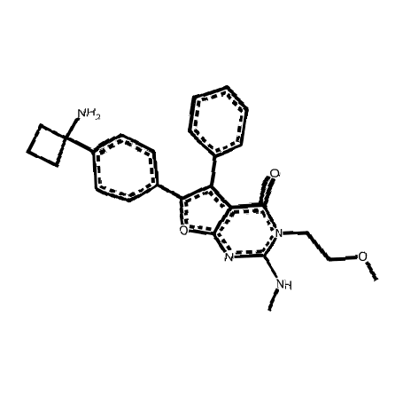 CNc1nc2oc(-c3ccc(C4(N)CCC4)cc3)c(-c3ccccc3)c2c(=O)n1CCOC